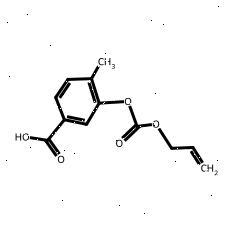 C=CCOC(=O)Oc1cc(C(=O)O)ccc1C